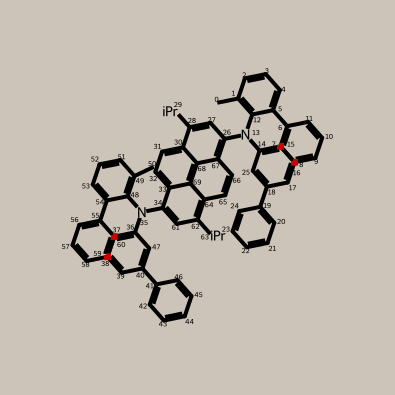 Cc1cccc(-c2ccccc2)c1N(c1cccc(-c2ccccc2)c1)c1cc(C(C)C)c2ccc3c(N(c4cccc(-c5ccccc5)c4)c4c(C)cccc4-c4ccccc4)cc(C(C)C)c4ccc1c2c43